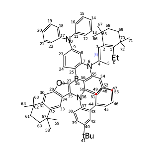 CCC1=C(/C=C(\C)N2c3cc(N(c4ccccc4)c4ccccc4)ccc3B3c4oc5cc6c(cc5c4N(c4ccc(C(C)(C)C)cc4-c4ccccc4)c4cc(C)cc2c43)C(C)(C)CCC6(C)C)C(C)(C)CCC1(C)C